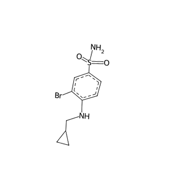 NS(=O)(=O)c1ccc(NCC2CC2)c(Br)c1